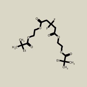 CCC(C)(C)C(=O)OCCOC(=O)CC(F)(F)CC(=O)OCCOC(=O)C(C)(C)CC